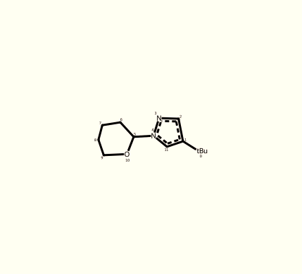 CC(C)(C)c1cnn(C2CCCCO2)c1